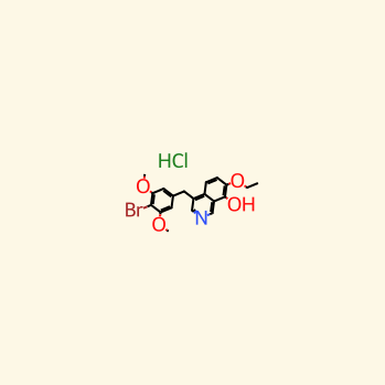 CCOc1ccc2c(Cc3cc(OC)c(Br)c(OC)c3)cncc2c1O.Cl